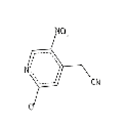 N#CCc1cc(Cl)ncc1[N+](=O)[O-]